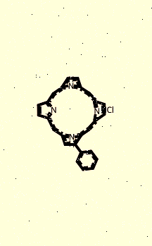 C1=Cc2cc3cc(-c4ccccc4)c(cc4nc(cc5ccc(cc1n2)[nH]5)C=C4)[nH]3.Cl